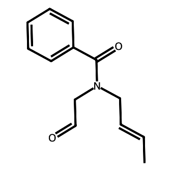 CC=CCN(CC=O)C(=O)c1ccccc1